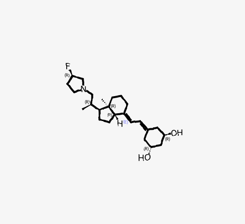 C[C@@H](CN1CC[C@@H](F)C1)C1CC[C@H]2/C(=C/C=C3C[C@@H](O)C[C@H](O)C3)CCC[C@]12C